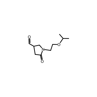 CC(C)OCCN1CC(C=O)CC1=O